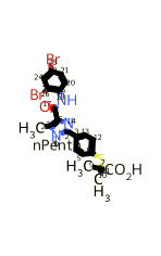 CCCCCn1c(-c2ccc(SC(C)(C)C(=O)O)cc2)nc(C(=O)Nc2ccc(Br)cc2Br)c1C